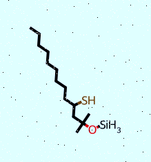 CCCCCCCCCC(S)CC(C)(C)O[SiH3]